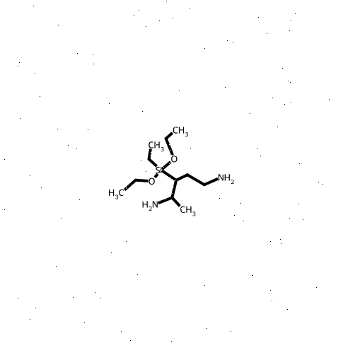 CCO[Si](CC)(OCC)C(CCN)C(C)N